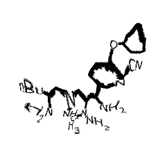 CCCC/C(N)=C/N(N)C/C(=C(/N)c1ccc(OC2CCCCC2)c(C#N)n1)N(C)N